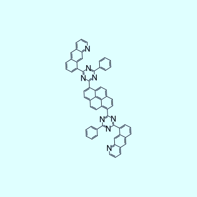 c1ccc(-c2nc(-c3cccc4cc5cccnc5cc34)nc(-c3ccc4ccc5c(-c6nc(-c7ccccc7)nc(-c7cccc8cc9cccnc9cc78)n6)ccc6ccc3c4c65)n2)cc1